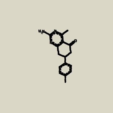 Cc1ccc(C2CC(=O)c3c(C)nc(N)nc3C2)cc1